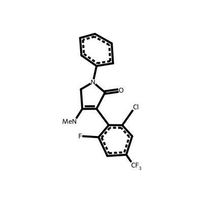 CNC1=C(c2c(F)cc(C(F)(F)F)cc2Cl)C(=O)N(c2ccccc2)C1